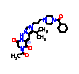 CC(=O)N1CC(=O)N/C(=C\c2ncn(CCCN3CCN(C(=O)C4CCCCC4)CC3)c2C(C)C)C1=O